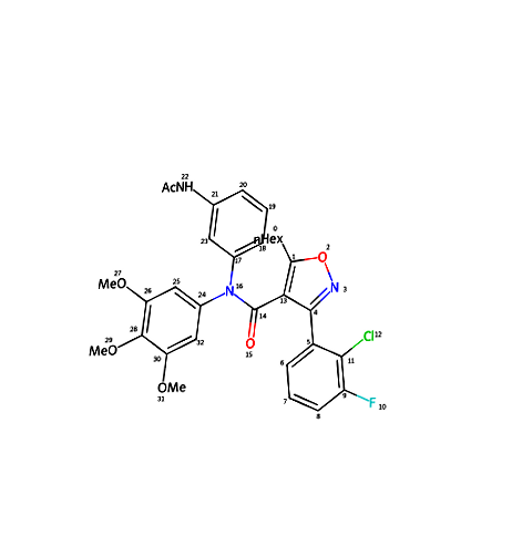 CCCCCCc1onc(-c2cccc(F)c2Cl)c1C(=O)N(c1cccc(NC(C)=O)c1)c1cc(OC)c(OC)c(OC)c1